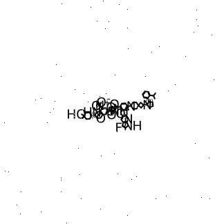 CC(C)c1ccccc1[C@H]1CCCN1C1CC2(CCN(c3ccc(C(=O)NS(=O)(=O)c4cc5c(c([N+](=O)[O-])c4)N[C@@H](C4CCC(C)(O)CC4)CO5)c(Oc4cnc5[nH]cc(F)c5c4)c3)CC2)C1